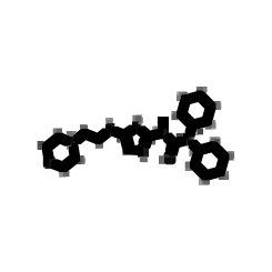 O=C(Nc1ncc(SCCN2CCOCC2)s1)N(C1CCCCC1)C1CCCCC1